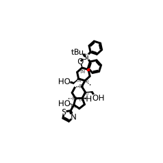 CC(C)(C)[Si](O[C@H]1CC[C@@](C)([C@H]2CC[C@@]3(C)[C@@H](CC[C@@]3(O)c3nccs3)[C@@H]2CO)[C@@H](CO)C1)(c1ccccc1)c1ccccc1